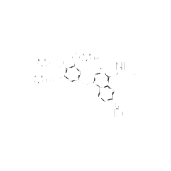 CCOc1ccc2c(Cc3cc(OC)c(OC)c(OC)c3)cnc(CN)c2c1